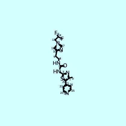 Cc1nc(NC(=O)NCCc2cn(CC(F)F)cn2)sc1-c1ccncc1